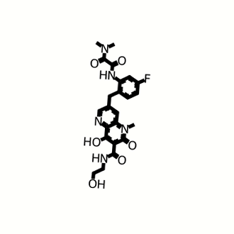 CN(C)C(=O)C(=O)Nc1cc(F)ccc1Cc1cnc2c(O)c(C(=O)NCCO)c(=O)n(C)c2c1